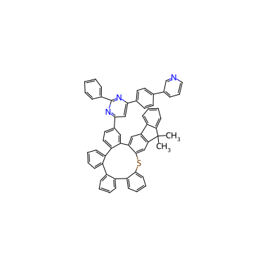 CC1(C)c2ccccc2-c2cc3c(cc21)Sc1ccccc1-c1ccccc1-c1ccccc1-c1ccc(-c2cc(-c4ccc(-c5cccnc5)cc4)nc(-c4ccccc4)n2)cc1-3